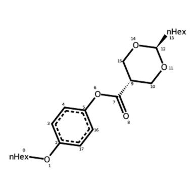 CCCCCCOc1ccc(OC(=O)[C@H]2CO[C@H](CCCCCC)OC2)cc1